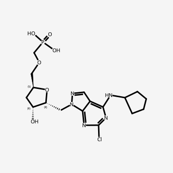 O=P(O)(O)COC[C@@H]1C[C@@H](O)[C@@H](Cn2ncc3c(NC4CCCC4)nc(Cl)nc32)O1